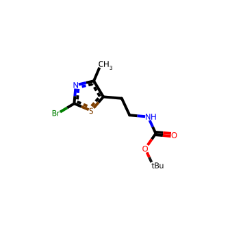 Cc1nc(Br)sc1CCNC(=O)OC(C)(C)C